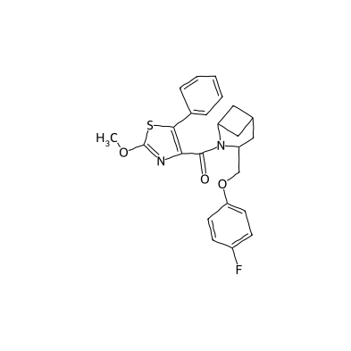 COc1nc(C(=O)N2C(COc3ccc(F)cc3)CC3CC2C3)c(-c2ccccc2)s1